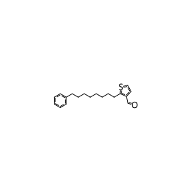 O=Cc1ccsc1CCCCCCCCc1ccccc1